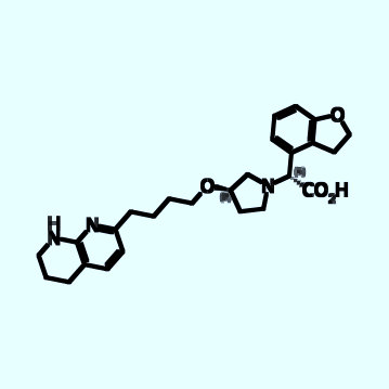 O=C(O)[C@@H](c1cccc2c1CCO2)N1CC[C@@H](OCCCCc2ccc3c(n2)NCCC3)C1